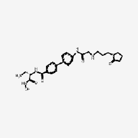 NC[C@H](NC(=O)c1ccc(-c2ccc(NC(=O)CNCCCN3CCCC3=O)cc2)cc1)C(=O)NO